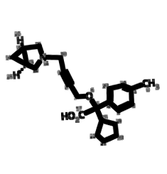 Cc1ccc(C(OCC#CCN2C[C@H]3C[C@H]3C2)(C(=O)O)C2CCCC2)cc1